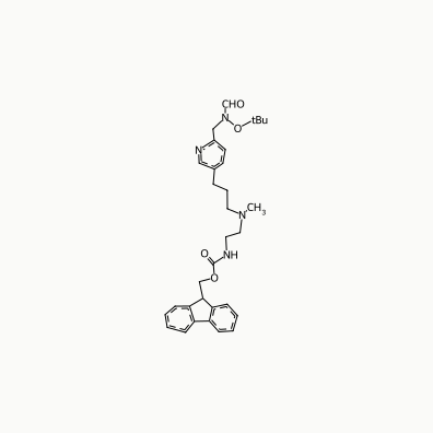 CN(CCCc1ccc(CN(C=O)OC(C)(C)C)nc1)CCNC(=O)OCC1c2ccccc2-c2ccccc21